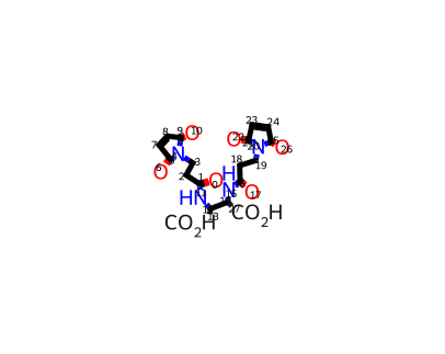 O=C(CCN1C(=O)C=CC1=O)NC(C(=O)O)C(NC(=O)CCN1C(=O)C=CC1=O)C(=O)O